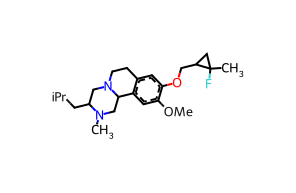 COc1cc2c(cc1OCC1CC1(C)F)CCN1CC(CC(C)C)N(C)CC21